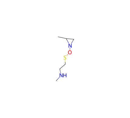 CNCCSON1CC1C